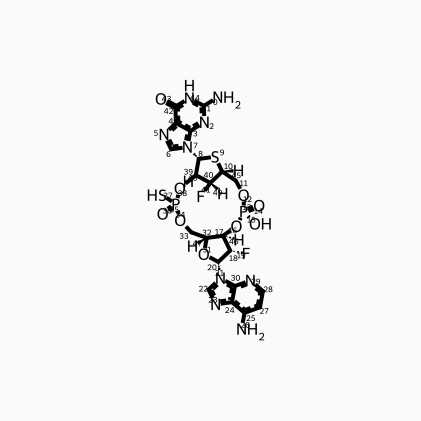 Nc1nc2c(ncn2[C@@H]2S[C@@H]3COP(=O)(O)O[C@H]4[C@H](F)[C@H](n5cnc6c(N)ccnc65)O[C@@H]4COP(=O)(S)O[C@@H]2[C@H]3F)c(=O)[nH]1